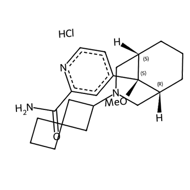 CO[C@]1(c2ccnc(C(N)=O)c2)[C@@H]2CCC[C@H]1CN(C1CC3(CCC3)C1)C2.Cl